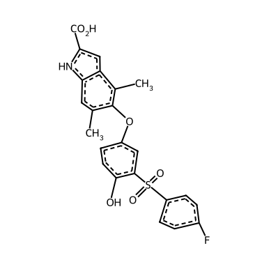 Cc1cc2[nH]c(C(=O)O)cc2c(C)c1Oc1ccc(O)c(S(=O)(=O)c2ccc(F)cc2)c1